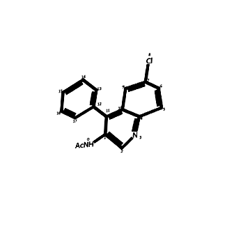 CC(=O)Nc1cnc2ccc(Cl)cc2c1-c1ccccc1